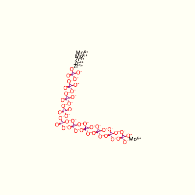 O=P([O-])([O-])[O-].O=P([O-])([O-])[O-].O=P([O-])([O-])[O-].O=P([O-])([O-])[O-].O=P([O-])([O-])[O-].O=P([O-])([O-])[O-].O=P([O-])([O-])[O-].O=P([O-])([O-])[O-].O=P([O-])([O-])[O-].O=P([O-])([O-])[O-].[Mo+6].[Mo+6].[Mo+6].[Zr+4].[Zr+4].[Zr+4]